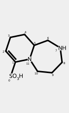 O=S(=O)(O)C1=CCCC2CNCCCN12